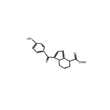 CCCc1ccc(C(=S)c2ccc3n2CCCC3C(=O)OC)cc1